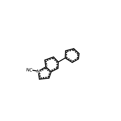 N#Cn1ccc2cc(-c3ccccc3)ccc21